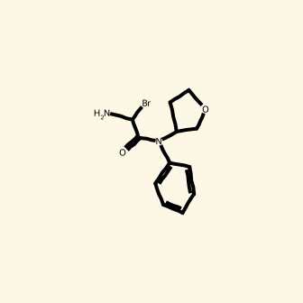 NC(Br)C(=O)N(c1ccccc1)C1CCOC1